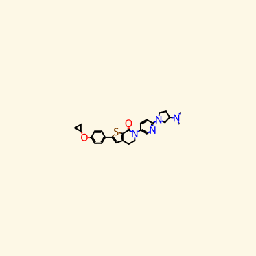 CN(C)C1CCN(c2ccc(N3CCc4cc(-c5ccc(OC6CC6)cc5)sc4C3=O)cn2)C1